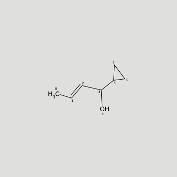 C/C=C/C(O)C1CC1